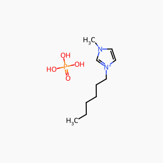 CCCCCC[n+]1ccn(C)c1.O=P(O)(O)O